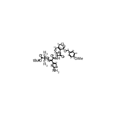 COc1ccc(COC(=O)C2=C(CCl)CSC3C(NC(=O)/C(=N\OC(C)(C)C(=O)OC(C)(C)C)c4csc(N)n4)C(=O)N23)cc1